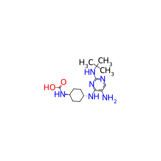 CC(C)(C)Nc1ncc(N)c(N[C@H]2CC[C@H](NC(=O)O)CC2)n1